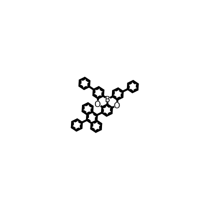 c1ccc(-c2ccc3c(c2)Oc2ccc(-c4c5ccccc5c(-c5ccccc5)c5ccccc45)c4c2B3c2ccc(-c3ccccc3)cc2O4)cc1